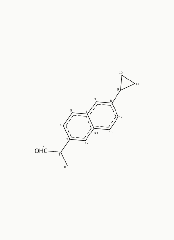 CC(C=O)c1ccc2cc(C3CC3)ccc2c1